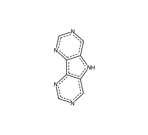 c1ncc2[nH]c3cncnc3c2n1